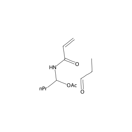 C=CC(=O)NC(CCC)OC(C)=O.CCC=O